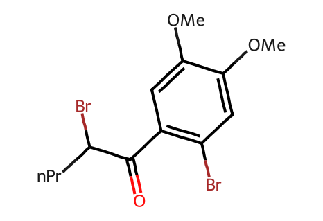 CCCC(Br)C(=O)c1cc(OC)c(OC)cc1Br